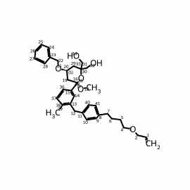 C=CCOCCCCc1ccc(Cc2cc([C@@]3(OC)C[C@@H](OCc4ccccc4)CC(CO)(CO)O3)ccc2C)cc1